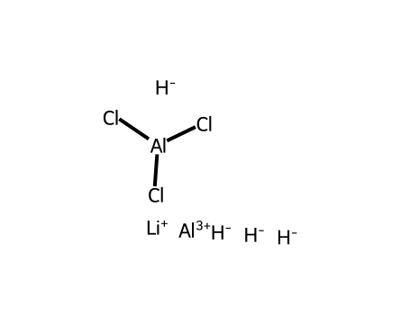 [Al+3].[Cl][Al]([Cl])[Cl].[H-].[H-].[H-].[H-].[Li+]